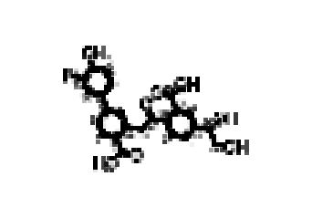 Cc1ccc(-c2ccc(C(=O)O)c(CC(=O)c3ccc(C(O)CO)cc3C(=O)O)c2)cc1F